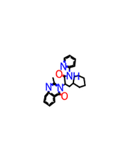 Cc1nc2ccccc2c(=O)n1C(CC1CCCCC1)C(=O)Nc1ccccn1